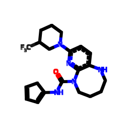 O=C(NC1=CC=CC1)N1CCCCNc2ccc(N3CCCC(C(F)(F)F)C3)nc21